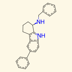 c1ccc(CN[C@@H]2CCCc3c2[nH]c2ccc(-c4ccccc4)cc32)cc1